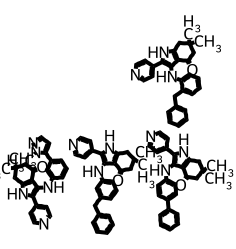 CC1(C)CC(=O)c2c([nH]c(-c3ccncc3)c2Nc2ccc(-c3ccccc3)cc2)C1.CC1(C)CC(=O)c2c([nH]c(-c3ccncc3)c2Nc2cccc(Cc3ccccc3)c2)C1.CC1(C)CC(=O)c2c([nH]c(-c3ccncc3)c2Nc2ccccc2Cc2ccccc2)C1.Cn1nccc1-c1cccc(Nc2c(-c3ccncc3)[nH]c3c2C(=O)CC(C)(C)C3)c1